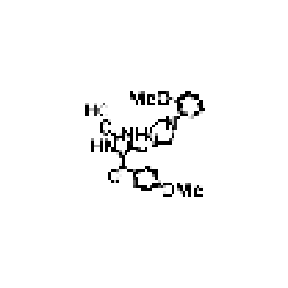 COc1ccc(C(=O)c2[nH]c(=O)[nH]c2CN2CCN(c3ccccc3OC)CC2)cc1.Cl